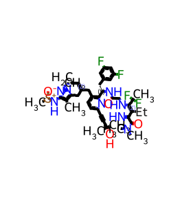 C=C/C=C(/Cc1ccc(C#CC(C)(C)O)nc1[C@H](Cc1cc(F)cc(F)c1)NC(=O)CN/C(=C(/CC)C(=N)C(=O)N(C)C)C(C)(F)F)Cc1c(C)c(N[S+](C)[O-])nn1C